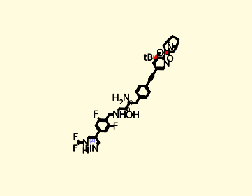 CC(C)(C)OC(=O)N1C2CCC1CN(c1ccc(C#Cc3ccc(C[C@H](N)[C@@H](O)CNCc4c(F)cc(/C(C=N)=C/NC(F)F)cc4F)cc3)cn1)C2